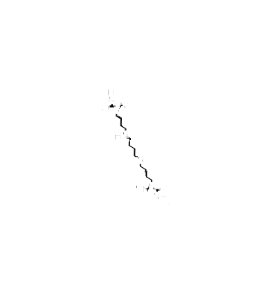 NC(=O)N(N)CCCCNCCCCNCCCCN(N)C(N)=O